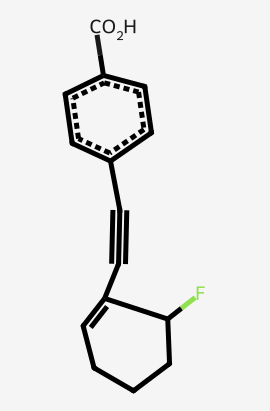 O=C(O)c1ccc(C#CC2=CCCCC2F)cc1